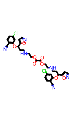 N#Cc1ccc(Cl)cc1OC(CCNCCOC(=O)C(=O)OCCNCCC(Oc1cc(Cl)ccc1C#N)c1ccno1)c1ccno1